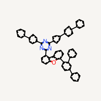 c1ccc(-c2ccc(-c3ccc(-c4nc(-c5ccc(-c6ccccc6)cc5)nc(-c5cccc6oc7c(-c8ccc(-c9ccccc9)cc8-c8ccccc8)cccc7c56)n4)cc3)cc2)cc1